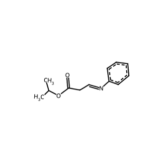 CC(C)OC(=O)CC=Nc1ccccc1